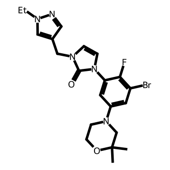 CCn1cc(Cn2ccn(-c3cc(N4CCOC(C)(C)C4)cc(Br)c3F)c2=O)cn1